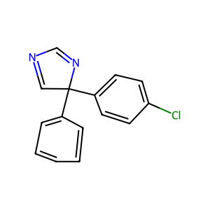 Clc1ccc(C2(c3ccccc3)C=NC=N2)cc1